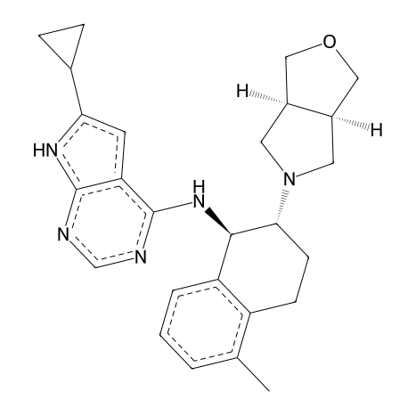 Cc1cccc2c1CC[C@@H](N1C[C@H]3COC[C@H]3C1)[C@@H]2Nc1ncnc2[nH]c(C3CC3)cc12